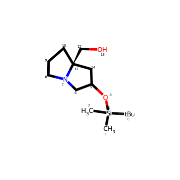 CC(C)(C)[Si](C)(C)OC1CN2CCC[C@]2(CO)C1